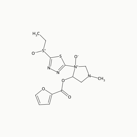 CC[S+]([O-])c1nnc([N+]2([O-])CN(C)CC2OC(=O)c2ccco2)s1